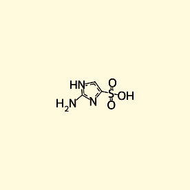 Nc1nc(S(=O)(=O)O)c[nH]1